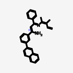 C=CC(C)=C(C)N=C(/C=C(\N)c1cccc(-c2ccc3ccccc3c2)c1)c1ccccc1